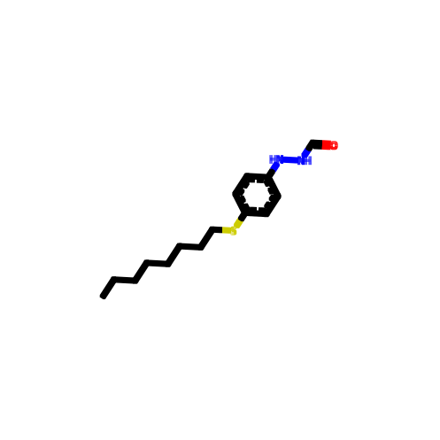 CCCCCCCCSc1ccc(NNC=O)cc1